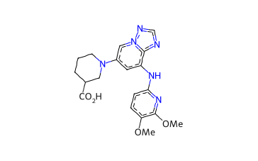 COc1ccc(Nc2cc(N3CCCC(C(=O)O)C3)cn3ncnc23)nc1OC